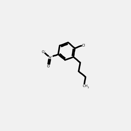 CCCCc1cc([N+](=O)[O-])ccc1Cl